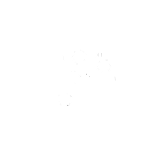 O=C(OCc1ccccc1)N1CCc2c(F)cccc2C1c1cc(F)ccc1O